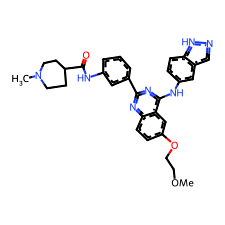 COCCOc1ccc2nc(-c3cccc(NC(=O)C4CCN(C)CC4)c3)nc(Nc3ccc4[nH]ncc4c3)c2c1